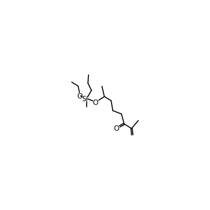 C=C(C)C(=O)CCCC(C)O[Si](C)(CCC)OCC